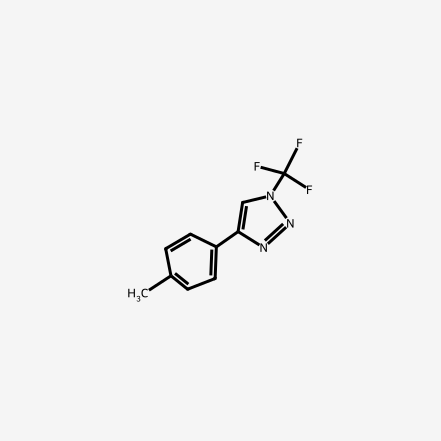 Cc1ccc(-c2cn(C(F)(F)F)nn2)cc1